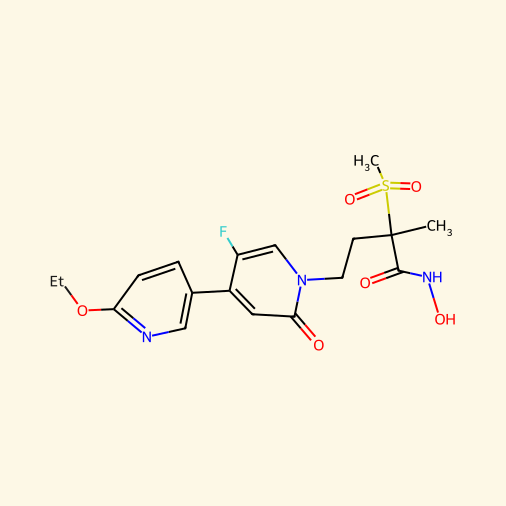 CCOc1ccc(-c2cc(=O)n(CCC(C)(C(=O)NO)S(C)(=O)=O)cc2F)cn1